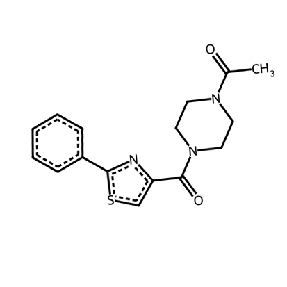 CC(=O)N1CCN(C(=O)c2csc(-c3ccccc3)n2)CC1